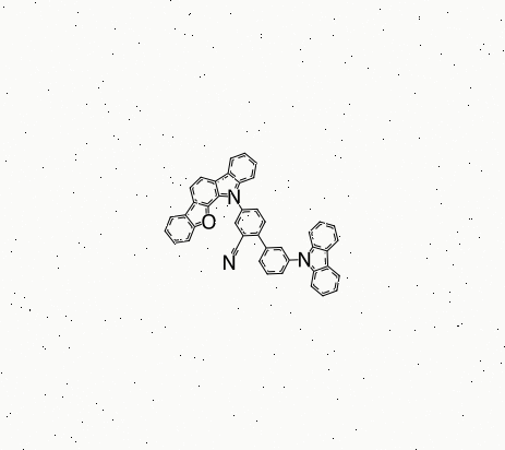 N#Cc1cc(-n2c3ccccc3c3ccc4c5ccccc5oc4c32)ccc1-c1cccc(-n2c3ccccc3c3ccccc32)c1